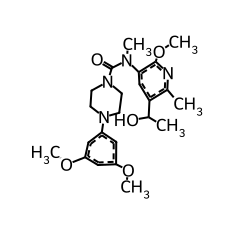 COc1cc(OC)cc(N2CCN(C(=O)N(C)c3cc(C(C)O)c(C)nc3OC)CC2)c1